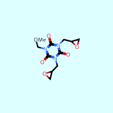 COCn1c(=O)n(CC2CO2)c(=O)n(CC2CO2)c1=O